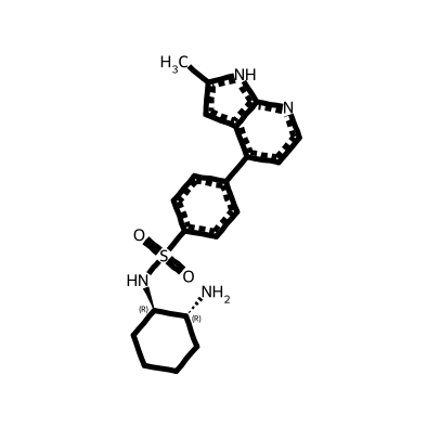 Cc1cc2c(-c3ccc(S(=O)(=O)N[C@@H]4CCCC[C@H]4N)cc3)ccnc2[nH]1